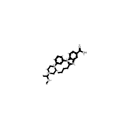 CCCCc1nc2cc(C(=O)O)ccc2n1-c1cccc(N2CCN(C(C)OC)CC2)c1